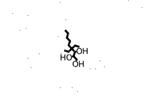 CCCCCC(CC)(CC)C(O)C(O)CO